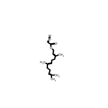 CC(C)=CCCC(C)=CCCC(C)=CCOC(=O)C=[N+]=[N-]